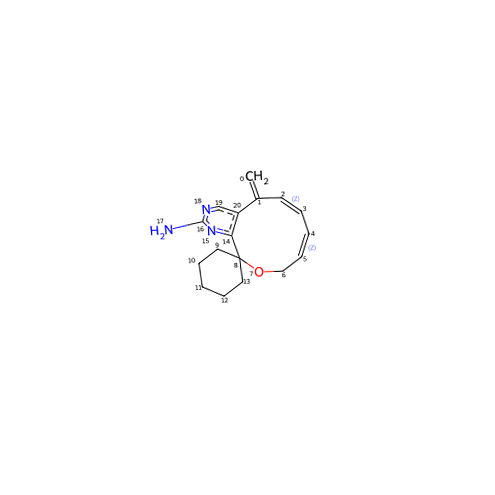 C=C1/C=C\C=C/COC2(CCCCC2)c2nc(N)ncc21